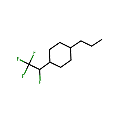 CCCC1CCC(C(F)C(F)(F)F)CC1